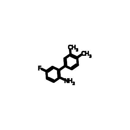 Cc1ccc(-c2cc(F)ccc2N)cc1C